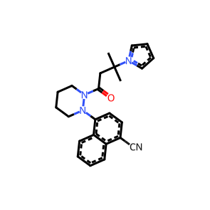 CC(C)(CC(=O)N1CCCCN1c1ccc(C#N)c2ccccc12)n1cccc1